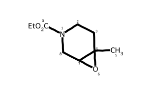 CCOC(=O)N1CCC2(C)OC2C1